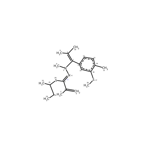 C=C(C)/C(=N/N(C)C(=C(C)C)c1ccc(C)c(SC)c1)SC(C)CC